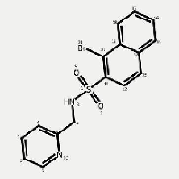 O=S(=O)(NCc1ccccn1)c1ccc2ccccc2c1Br